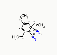 CCC1=CC(C#N)(CC)C(C#N)C(CC)=C1